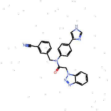 N#Cc1cccc(CN(C(=O)Cn2nnc3ccccc32)c2ccc(-c3c[nH]cn3)cc2)c1